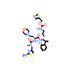 C=C(c1ccccc1)[C@@H](CCCNC(=O)OCc1cncs1)NC(=O)[C@H](CCN1CCOCC1)NC(=O)N(C)Cc1csc(C(C)C)n1